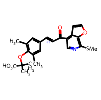 CSc1ncc(C(=O)/C=C/c2cc(C)c(OC(C)(C)C(=O)O)c(C)c2)c2ccoc12